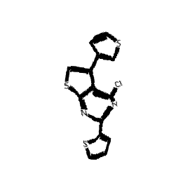 Clc1nc(-c2cccs2)nc2scc(-c3ccsc3)c12